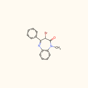 CN1C(=O)C(Br)C(c2ccccc2)=Nc2ccccc21